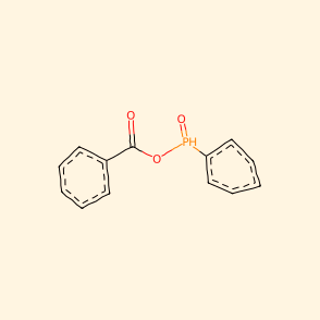 O=C(O[PH](=O)c1ccccc1)c1ccccc1